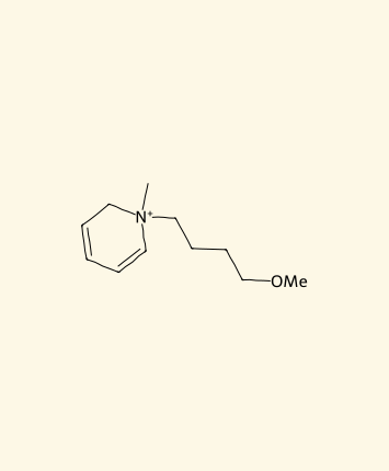 COCCCC[N+]1(C)C=CC=CC1